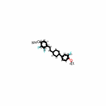 CCOc1ccc(C2CCC(CCc3ccc(OC)c(F)c3F)CC2)cc1F